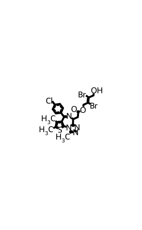 Cc1sc2c(c1C)C(c1ccc(Cl)cc1)=NC(CC(=O)OC/C(Br)=C(\Br)CO)c1nnc(C)n1-2